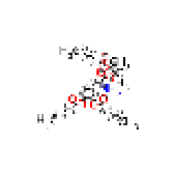 CCCCCC(=O)Oc1ccc(C[C@H](N)C(=O)O[C@@H](C)C(C)OC(=O)CCCCC)cc1OC(=O)CCCCC